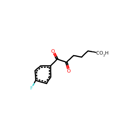 O=C(O)CCCC(=O)C(=O)c1ccc(F)cc1